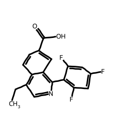 CCc1cnc(-c2c(F)cc(F)cc2F)c2cc(C(=O)O)ccc12